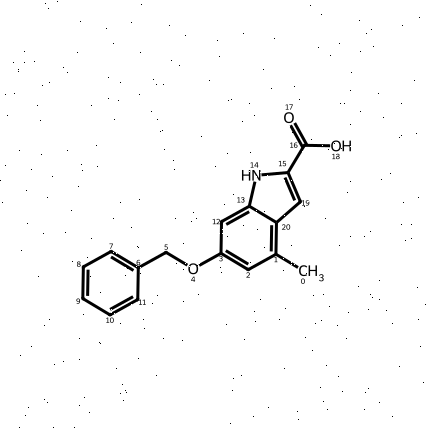 Cc1cc(OCc2ccccc2)cc2[nH]c(C(=O)O)cc12